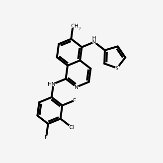 Cc1ccc2c(Nc3ccc(F)c(Cl)c3F)nccc2c1Nc1ccsc1